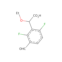 CCOC(C(=O)O)c1c(F)ccc(C=O)c1F